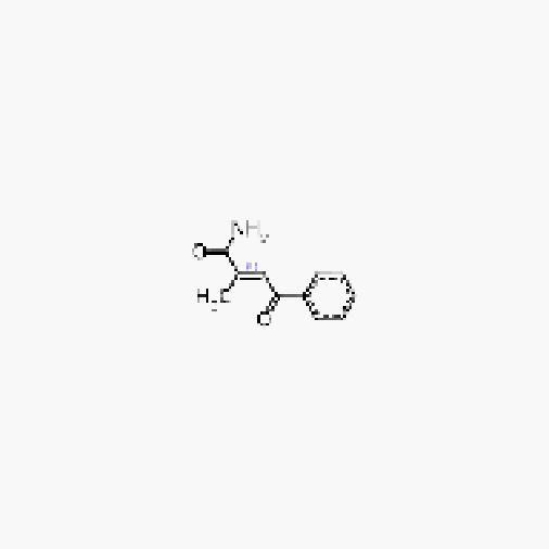 C/C(=C\C(=O)c1ccccc1)C(N)=O